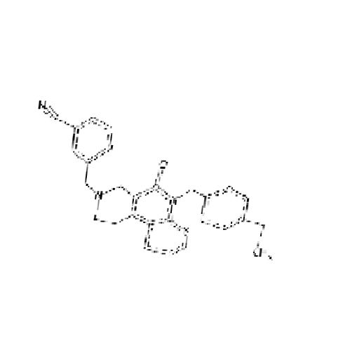 CCc1ccc(Cn2c(=O)c3c(c4cccnc42)CCN(Cc2cccc(C#N)c2)C3)cc1